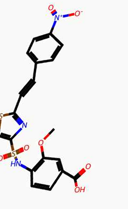 COc1cc(C(=O)O)ccc1NS(=O)(=O)c1csc(C#Cc2ccc([N+](=O)[O-])cc2)n1